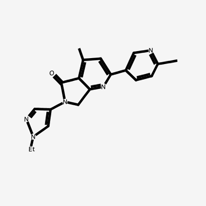 CCn1cc(N2Cc3nc(-c4ccc(C)nc4)cc(C)c3C2=O)cn1